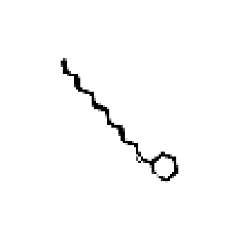 C=CC=CCC=CCC=CCOC1CCCCO1